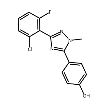 Cn1nc(-c2c(F)cccc2Cl)nc1-c1ccc(O)cc1